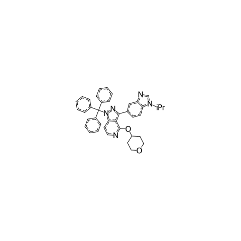 CC(C)n1cnc2cc(-c3nn(C(c4ccccc4)(c4ccccc4)c4ccccc4)c4ccnc(OC5CCOCC5)c34)ccc21